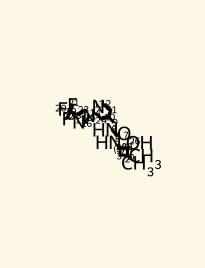 CC1(C)C[C@H](NC(=O)NCc2ccnc(-n3cnc(C(F)(F)F)c3)c2)[C@@H]1O